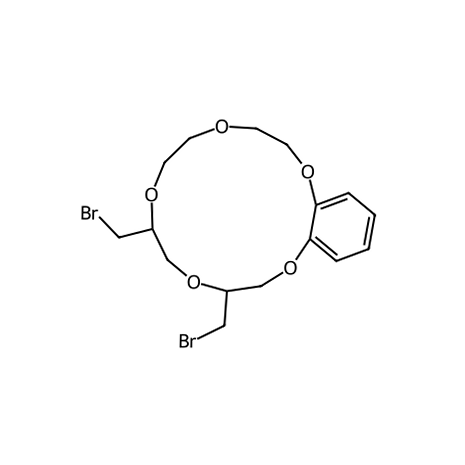 BrCC1COc2ccccc2OCCOCCOC(CBr)CO1